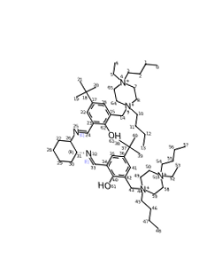 CCCC[N+]1(CC)CC[N+](CCCC)(Cc2cc(C(C)(C)C)cc(/C=N/C3CCCC[C@H]3/N=C/c3cc(C(C)(C)C)cc(C[N+]4(CCCC)CC[N+](CC)(CCCC)CC4)c3O)c2O)CC1